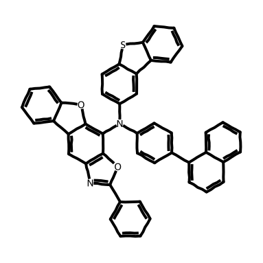 c1ccc(-c2nc3cc4c(oc5ccccc54)c(N(c4ccc(-c5cccc6ccccc56)cc4)c4ccc5sc6ccccc6c5c4)c3o2)cc1